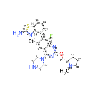 CCc1cc2c(N3CCNCC3)nc(OC[C@@H]3CCCN3C)nc2c(F)c1-c1cccc2sc(N)nc12